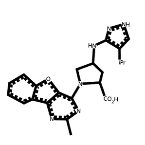 Cc1nc(N2CC(Nc3n[nH]cc3C(C)C)CC2C(=O)O)c2oc3ccccc3c2n1